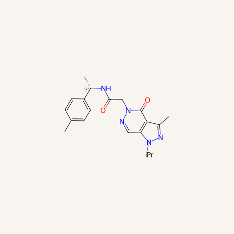 Cc1ccc([C@H](C)NC(=O)Cn2ncc3c(c(C)nn3C(C)C)c2=O)cc1